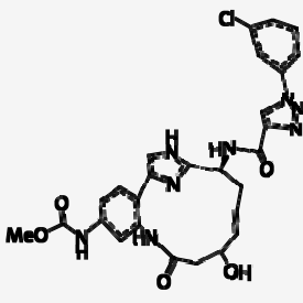 COC(=O)Nc1ccc2c(c1)NC(=O)CC(O)/C=C/C[C@H](NC(=O)c1cn(-c3cccc(Cl)c3)nn1)c1nc-2c[nH]1